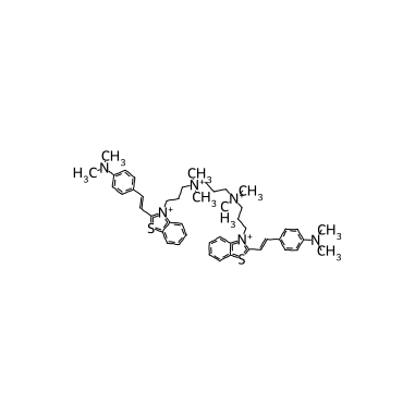 CN(C)c1ccc(/C=C/c2sc3ccccc3[n+]2CCC[N+](C)(C)CCC[N+](C)(C)CCC[n+]2c(/C=C/c3ccc(N(C)C)cc3)sc3ccccc32)cc1